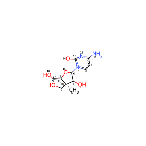 C[C@@]1(CO)C(O)C(n2ccc(N)nc2=O)O[C@@H]1CO